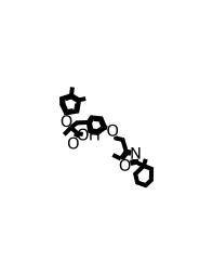 Cc1ccc(OC(C)(Cc2ccc(OCCc3nc(C4(C)CCCCC4)oc3C)cc2)C(=O)O)cc1C